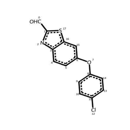 O=Cc1nc2ccc(Oc3ccc(Cl)cc3)cc2s1